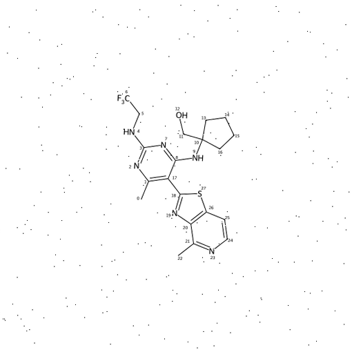 Cc1nc(NCC(F)(F)F)nc(NC2(CO)CCCC2)c1-c1nc2c(C)nccc2s1